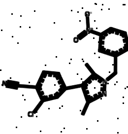 Cc1nn(Cc2cccc([N+](=O)[O-])c2)c(C)c1-c1ccc(C#N)c(Cl)c1